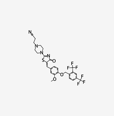 COc1cc(/C=C2/SC(N3CCN(CCC#N)CC3)=NC2=O)ccc1OCc1ccc(C(F)(F)F)cc1C(F)(F)F